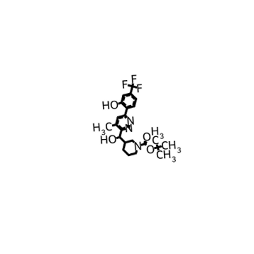 Cc1cc(-c2ccc(C(F)(F)F)cc2O)nnc1C(O)C1CCCN(C(=O)OC(C)(C)C)C1